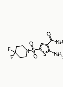 NC(=O)c1cc(S(=O)(=O)N2CCC(F)(F)CC2)sc1N